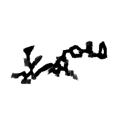 Nc1nc(CC2CCN(C(=O)Oc3ccccc3)CC2)nc2c1ncn2CO[C@H](C(=O)NC1CC1)C(O)CO